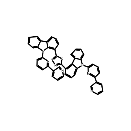 c1cncc(-c2cccc(-n3c4ccccc4c4c(-c5nnc(-c6cccc7c8ccccc8n(-c8cccc(-c9cccnc9)n8)c67)s5)cccc43)n2)c1